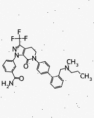 CCCN(C)Cc1ccccc1-c1ccc(N2CCc3c(C(F)(F)F)nn(-c4cccc(C(N)=O)c4)c3C2=O)cc1